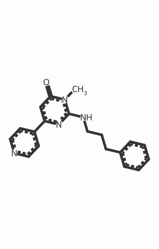 Cn1c(NCCCc2ccccc2)nc(-c2ccncc2)cc1=O